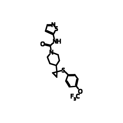 O=C(Nc1ccns1)N1CCC(C2(Sc3ccc(OC(F)(F)F)cc3)CC2)CC1